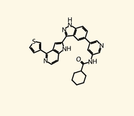 O=C(Nc1cncc(-c2ccc3[nH]nc(-c4cc5c(-c6ccsc6)nccc5[nH]4)c3c2)c1)C1CCCCC1